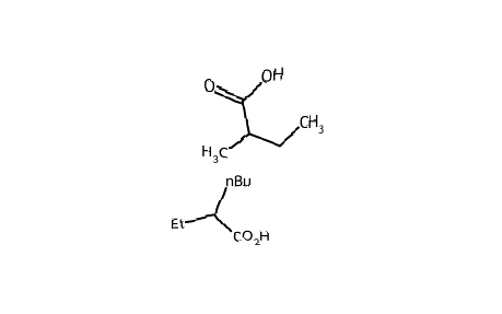 CCC(C)C(=O)O.CCCCC(CC)C(=O)O